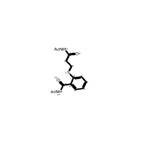 CC(=O)NC(=O)CCSc1ccccc1C(=O)NC(C)=O